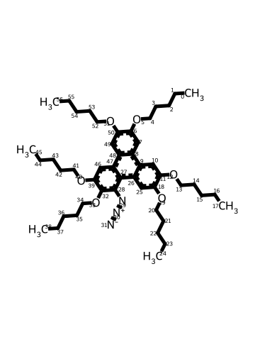 CCCCCOc1cc2c3cc(OCCCCC)c(OCCCCC)cc3c3c(N=[N+]=[N-])c(OCCCCC)c(OCCCCC)cc3c2cc1OCCCCC